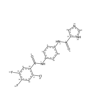 O=C(Nc1ccc(NC(=O)c2cc(F)c(F)cc2Cl)cc1)c1cnc[nH]1